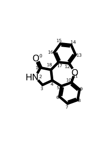 O=C1NCC2c3ccccc3Oc3ccccc3C12